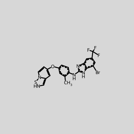 Cc1cc(OC2=CC3=CNSN3C=C2)ccc1Nc1nc2cc(C(F)(F)F)cc(Br)c2[nH]1